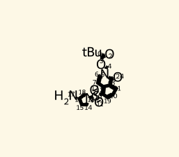 CC(C)(C)C(=O)OCn1ccc2c(S(=O)(=O)N3CC[C@H](N)C3)cccc2c1=O